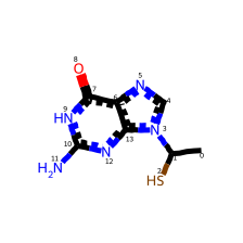 CC(S)n1cnc2c(=O)[nH]c(N)nc21